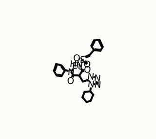 CCN(C(=O)C(Cc1nnnn1C1CCCCC1)C(=O)NS(=O)(=O)/C=C/c1ccccc1)c1ccccc1